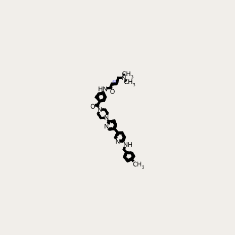 Cc1ccc(CNc2ccc(-c3ccc(N4CCN(C(=O)c5ccc(NC(=O)/C=C/CN(C)C)cc5)CC4)nc3)cn2)cc1